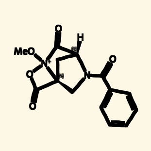 CO[N+]12OC(=O)[C@@]13C[C@H](C2=O)N(C(=O)c1ccccc1)C3